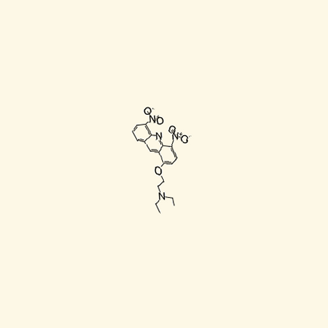 CCN(CC)CCOc1ccc([N+](=O)[O-])c2nc3c([N+](=O)[O-])cccc3cc12